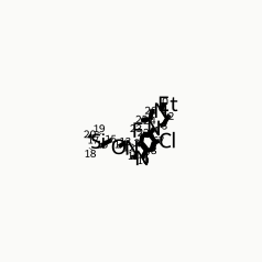 CCN1CCN(c2c(Cl)cc3ncn(COCC[Si](C)(C)C)c3c2F)C(C)C1